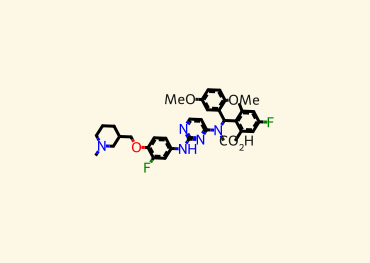 COc1ccc(OC)c(C(c2c(C)cc(F)cc2C)N(C(=O)O)c2ccnc(Nc3ccc(OCC4CCCN(C)C4)c(F)c3)n2)c1